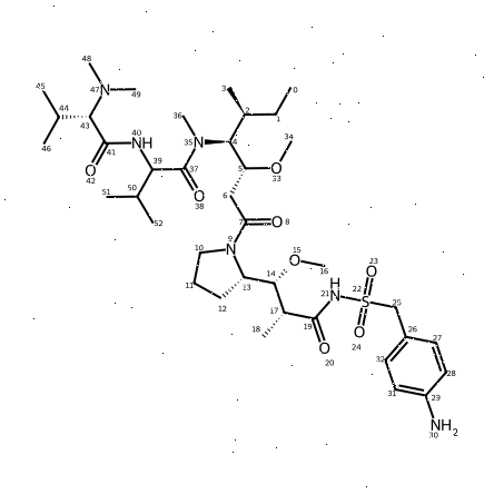 CC[C@H](C)[C@@H]([C@@H](CC(=O)N1CCC[C@H]1[C@H](OC)[C@@H](C)C(=O)NS(=O)(=O)Cc1ccc(N)cc1)OC)N(C)C(=O)C(NC(=O)[C@H](C(C)C)N(C)C)C(C)C